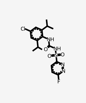 CC(C)c1cc(Cl)cc(C(C)C)c1NC(=O)NS(=O)(=O)c1ccc(F)nn1